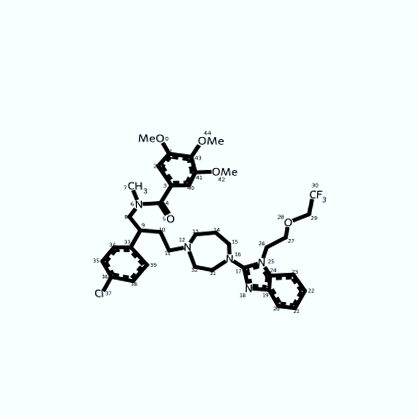 COc1cc(C(=O)N(C)CC(CCN2CCCN(c3nc4ccccc4n3CCOCC(F)(F)F)CC2)c2ccc(Cl)cc2)cc(OC)c1OC